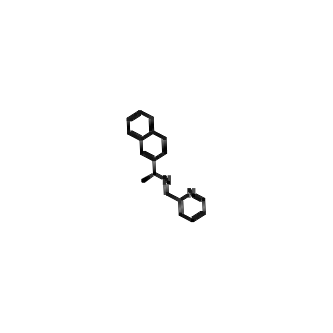 C[C@H](/N=C/c1ccccn1)c1ccc2ccccc2c1